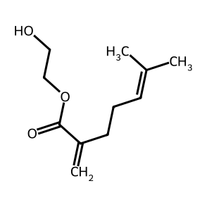 C=C(CCC=C(C)C)C(=O)OCCO